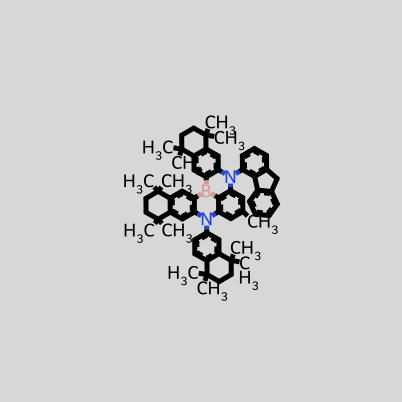 Cc1cc2c3c(c1)N(c1cccc4c1-c1ccccc1C4)c1cc4c(cc1B3c1cc3c(cc1N2c1ccc2c(c1)C(C)(C)CCC2(C)C)C(C)(C)CCC3(C)C)C(C)(C)CCC4(C)C